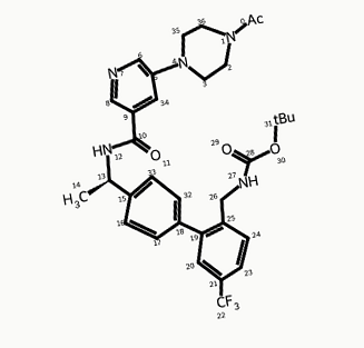 CC(=O)N1CCN(c2cncc(C(=O)N[C@H](C)c3ccc(-c4cc(C(F)(F)F)ccc4CNC(=O)OC(C)(C)C)cc3)c2)CC1